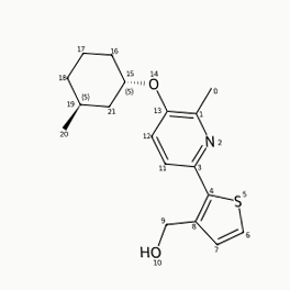 Cc1nc(-c2sccc2CO)ccc1O[C@H]1CCC[C@H](C)C1